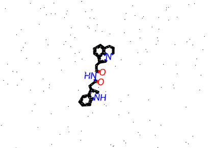 O=C(Cc1c[nH]c2ccccc12)NC(=O)Cc1cn2c3c(cccc13)CCC2